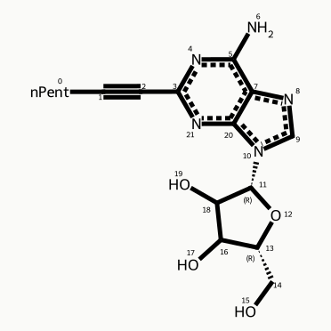 CCCCCC#Cc1nc(N)c2ncn([C@@H]3O[C@H](CO)C(O)C3O)c2n1